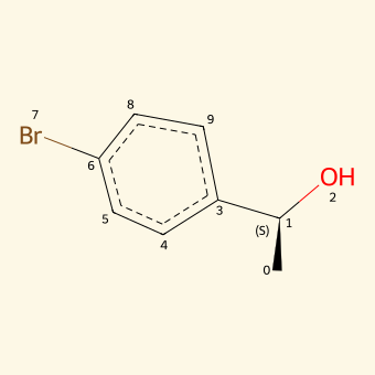 C[C@H](O)c1ccc(Br)cc1